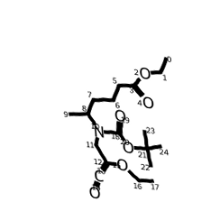 CCOC(=O)CCCC(C)N(CC(=C=O)OCC)C(=O)OC(C)(C)C